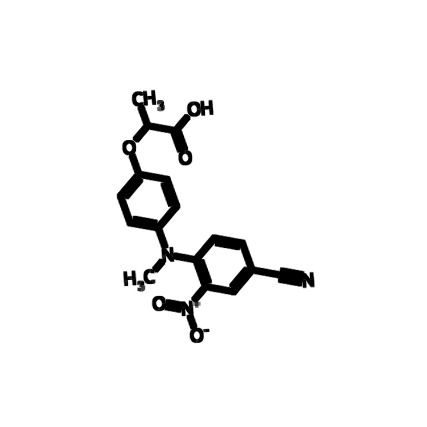 CC(Oc1ccc(N(C)c2ccc(C#N)cc2[N+](=O)[O-])cc1)C(=O)O